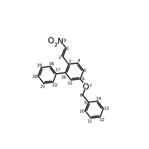 O=[N+]([O-])C=Cc1ccc(OCc2ccccc2)cc1-c1ccccc1